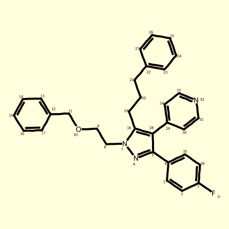 Fc1ccc(-c2nn(CCOCc3ccccc3)c(CCCc3ccccc3)c2-c2ccncc2)cc1